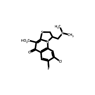 CN(C)CC1CSc2c(C(=O)O)c(=O)c3cc(F)c(Cl)cc3n21